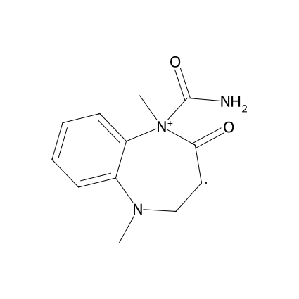 CN1C[CH]C(=O)[N+](C)(C(N)=O)c2ccccc21